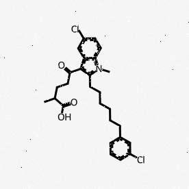 CC(CCC(=O)c1c(CCCCCCc2cccc(Cl)c2)n(C)c2ccc(Cl)cc12)C(=O)O